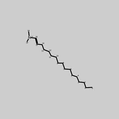 CCCCCCCCCCCCCCCC=CN(C)C